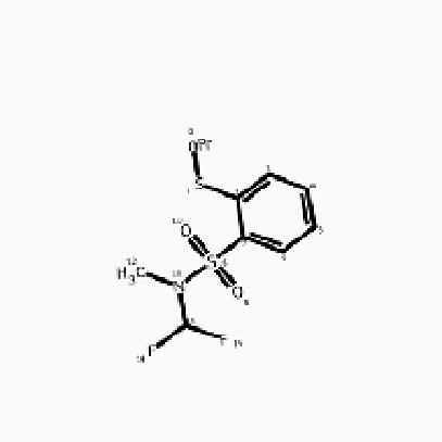 CCCSc1ccccc1S(=O)(=O)N(C)C(F)F